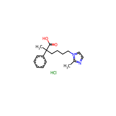 Cc1nccn1CCCCC(C)(C(=O)O)c1ccccc1.Cl